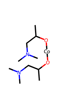 CC(CN(C)C)[O][Co][O]C(C)CN(C)C